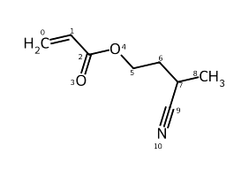 C=CC(=O)OCCC(C)C#N